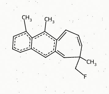 Cc1cccc2cc3c(c(C)c12)=CC=CC(C)(CF)C=3